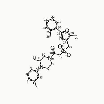 Cc1cccc(N2CCN(C(=O)CS(=O)(=O)Cc3nc(-c4ccccc4C)oc3C)CC2C)c1